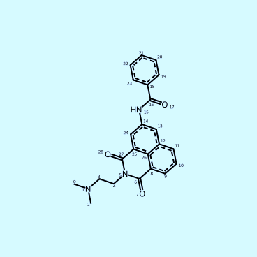 CN(C)CCN1C(=O)c2cccc3cc(NC(=O)c4ccccc4)cc(c23)C1=O